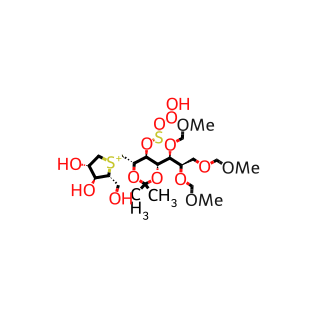 COCOC[C@@H](OCOC)[C@H](OCOC)[C@@H]1OC(C)(C)O[C@H](C[S@+]2C[C@@H](O)[C@H](O)[C@H]2CO)[C@H]1OSOOO